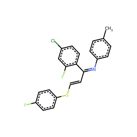 Cc1ccc(/N=C(/C=C/Sc2ccc(F)cc2)c2ccc(Cl)cc2F)cc1